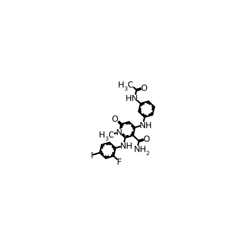 CC(=O)Nc1cccc(Nc2cc(=O)n(C)c(Nc3ccc(I)cc3F)c2C(N)=O)c1